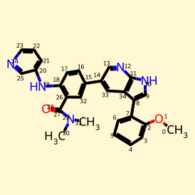 COc1ccccc1-c1c[nH]c2ncc(-c3ccc(Nc4cccnc4)c(C(=O)N(C)C)c3)cc12